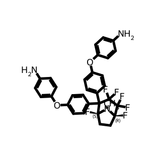 CN1[C@]2(F)CC[C@@]1(F)C(F)(F)C(F)(F)C2(c1ccc(Oc2ccc(N)cc2)cc1)c1ccc(Oc2ccc(N)cc2)cc1